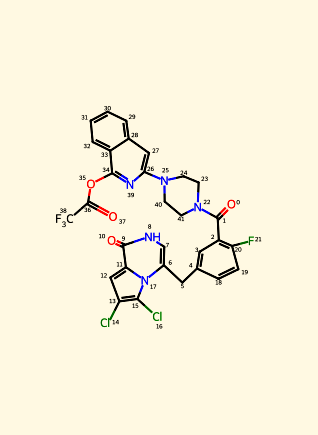 O=C(c1cc(Cc2c[nH]c(=O)c3cc(Cl)c(Cl)n23)ccc1F)N1CCN(c2cc3ccccc3c(OC(=O)C(F)(F)F)n2)CC1